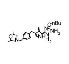 C=c1c(Cc2ccc(CN3CC(C)OC(C)C3)cc2)c[nH]/c1=C(N)/N=C(\N)OCCCC